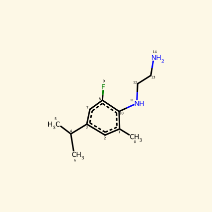 Cc1cc(C(C)C)cc(F)c1NCCN